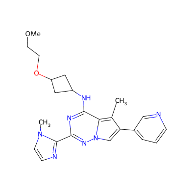 COCCOC1CC(Nc2nc(-c3nccn3C)nn3cc(-c4cccnc4)c(C)c23)C1